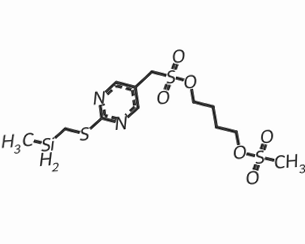 C[SiH2]CSc1ncc(CS(=O)(=O)OCCCCOS(C)(=O)=O)cn1